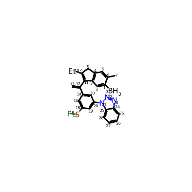 Bc1cc2c(cc1C)CC(CC)=C2C(=C)c1cc(SF)cc(-n2nnc3ccccc32)c1